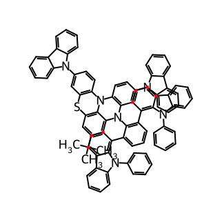 CC(C)(C)c1cc2c3c(c1)N(c1c(-c4cccc5c6ccccc6n(-c6ccccc6)c45)cccc1-c1cccc4c5ccccc5n(-c5ccccc5)c14)c1cc(-n4c5ccccc5c5ccccc54)ccc1N3c1ccc(-n3c4ccccc4c4ccccc43)cc1S2